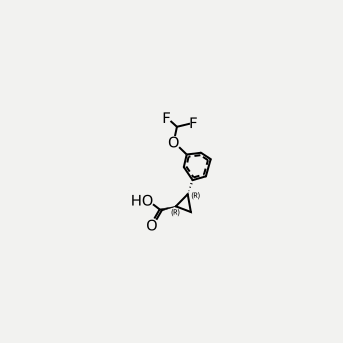 O=C(O)[C@@H]1C[C@H]1c1cccc(OC(F)F)c1